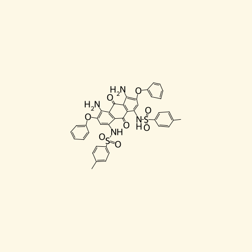 Cc1ccc(S(=O)(=O)Nc2cc(Oc3ccccc3)c(N)c3c2C(=O)c2c(NS(=O)(=O)c4ccc(C)cc4)cc(Oc4ccccc4)c(N)c2C3=O)cc1